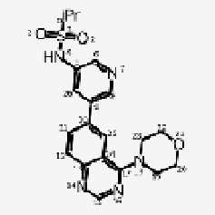 CC(C)S(=O)(=O)Nc1cncc(-c2ccc3ncnc(N4CCOCC4)c3c2)c1